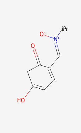 CC(C)/[N+]([O-])=C/C1=CC=C(O)CC1=O